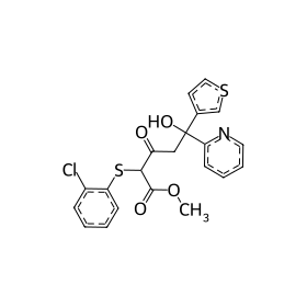 COC(=O)C(Sc1ccccc1Cl)C(=O)CC(O)(c1ccsc1)c1ccccn1